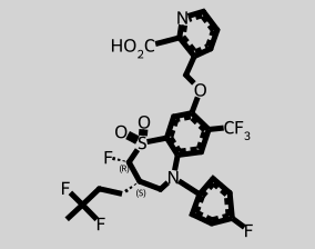 CC(F)(F)CC[C@H]1CN(c2ccc(F)cc2)c2cc(C(F)(F)F)c(OCc3cccnc3C(=O)O)cc2S(=O)(=O)[C@H]1F